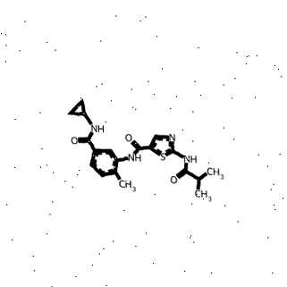 Cc1ccc(C(=O)NC2CC2)cc1NC(=O)c1cnc(NC(=O)C(C)C)s1